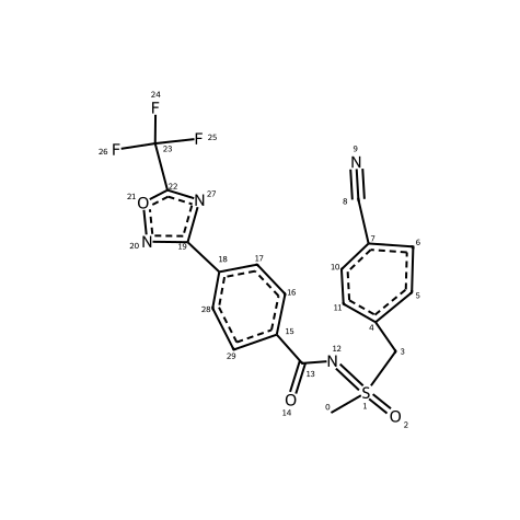 CS(=O)(Cc1ccc(C#N)cc1)=NC(=O)c1ccc(-c2noc(C(F)(F)F)n2)cc1